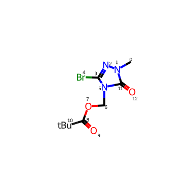 Cn1nc(Br)n(COC(=O)C(C)(C)C)c1=O